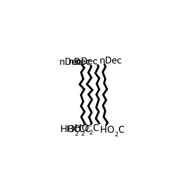 CCCCCCCCCCCCCCCCCCCCCC(=O)O.CCCCCCCCCCCCCCCCCCCCCC(=O)O.CCCCCCCCCCCCCCCCCCCCCC(=O)O.CCCCCCCCCCCCCCCCCCCCCC(=O)O